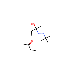 CCC(C)(O)N=NC(C)(C)C.CCC(C)=O